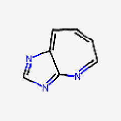 c1ccc2ncnc-2nc1